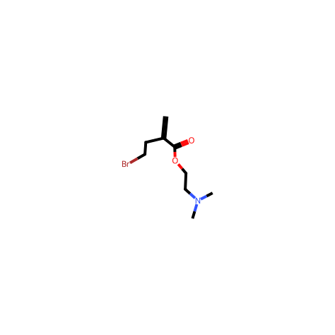 C=C(CCBr)C(=O)OCCN(C)C